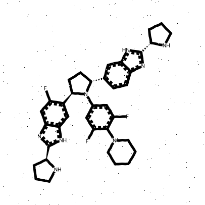 Fc1cc2nc([C@@H]3CCCN3)[nH]c2cc1[C@H]1CC[C@H](c2ccc3nc([C@@H]4CCCN4)[nH]c3c2)N1c1cc(F)c(N2CCCCC2)c(F)c1